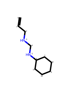 C=CCNCNC1CCCCC1